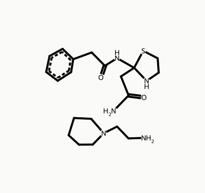 NC(=O)CC1(NC(=O)Cc2ccccc2)NCCS1.NCCN1CCCCC1